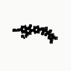 CNc1ccc2c(=O)n(-c3ccc(NC(=O)NS(=O)(=O)c4cc(Cl)c(Cl)s4)cc3)cc([N+](=O)[O-])c2c1